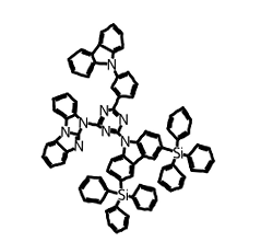 c1ccc([Si](c2ccccc2)(c2ccccc2)c2ccc3c(c2)c2cc([Si](c4ccccc4)(c4ccccc4)c4ccccc4)ccc2n3-c2nc(-c3cccc(-n4c5ccccc5c5ccccc54)c3)nc(-n3c4ccccc4n4c5ccccc5nc34)n2)cc1